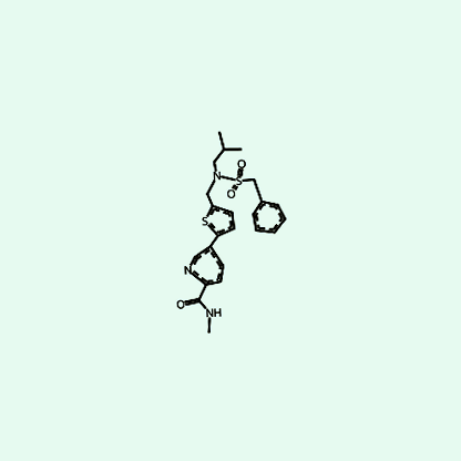 CNC(=O)c1ccc(-c2ccc(CN(CC(C)C)S(=O)(=O)Cc3ccccc3)s2)cn1